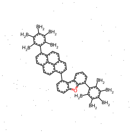 Bc1c(B)c(B)c(-c2ccc3ccc4c(-c5cccc6oc7c(-c8c(B)c(B)c(B)c(B)c8B)cccc7c56)ccc5ccc2c3c54)c(B)c1B